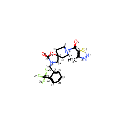 Cc1nnsc1C(=O)N1CCC2(CC1)CN(Cc1ccccc1C(F)(F)F)C(=O)O2